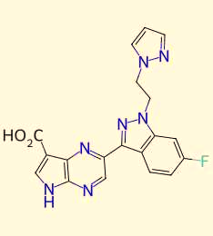 O=C(O)c1c[nH]c2ncc(-c3nn(CCn4cccn4)c4cc(F)ccc34)nc12